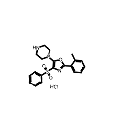 Cc1ccccc1-c1nc(S(=O)(=O)c2ccccc2)c(N2CCNCC2)o1.Cl